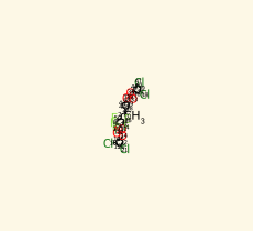 CC(CC1=C(F)C(F)(F)C(F)(OC(=O)Oc2cc(Cl)cc(Cl)c2)C(F)=C1F)=C1C=CC(OC(=O)Oc2cc(Cl)cc(Cl)c2)=CC1